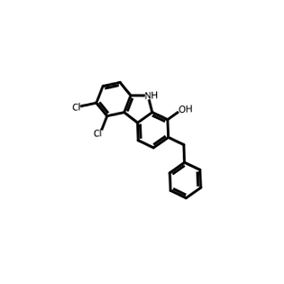 Oc1c(Cc2ccccc2)ccc2c1[nH]c1ccc(Cl)c(Cl)c12